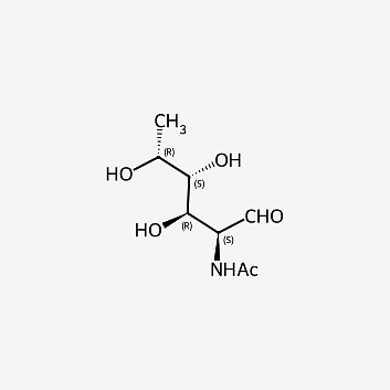 CC(=O)N[C@H](C=O)[C@@H](O)[C@@H](O)[C@@H](C)O